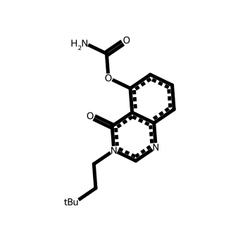 CC(C)(C)CCn1cnc2cccc(OC(N)=O)c2c1=O